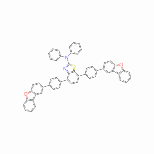 c1ccc(N(c2ccccc2)c2nc3c(-c4ccc(-c5ccc6oc7ccccc7c6c5)cc4)ccc(-c4ccc(-c5ccc6oc7ccccc7c6c5)cc4)c3s2)cc1